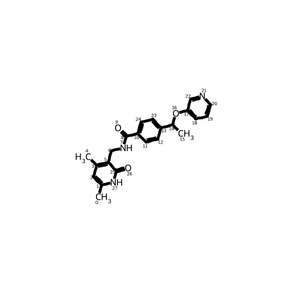 Cc1cc(C)c(CNC(=O)c2ccc(C(C)Oc3cccnc3)cc2)c(=O)[nH]1